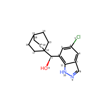 O[C@H](c1cc(Cl)cc2cn[nH]c12)C12CCC(CC1)CC2